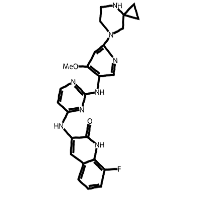 COc1cc(N2CCNC3(CC3)C2)ncc1Nc1nccc(Nc2cc3cccc(F)c3[nH]c2=O)n1